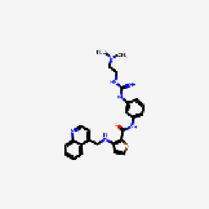 CN(C)CCNC(=N)Nc1cccc(NC(=O)c2sccc2NCc2ccnc3ccccc23)c1